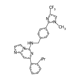 CC(C)c1ccccc1-c1cc2nccn2c(NCc2ccc(-c3nc(C(F)(F)F)cn3C)cc2)n1